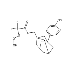 CCCc1ccc(C23CC4CC(CC(COC(=O)C(F)(F)SOO)(C4)C2)C3)cc1